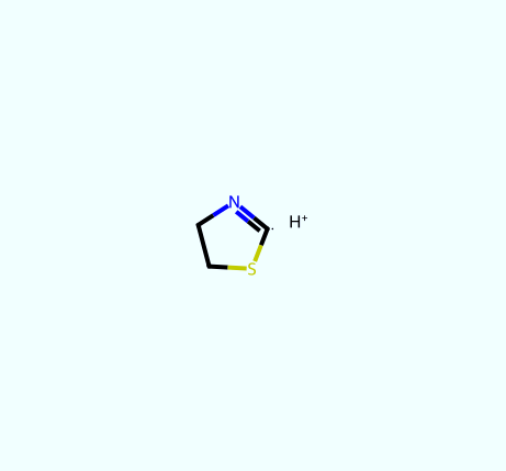 [C]1=NCCS1.[H+]